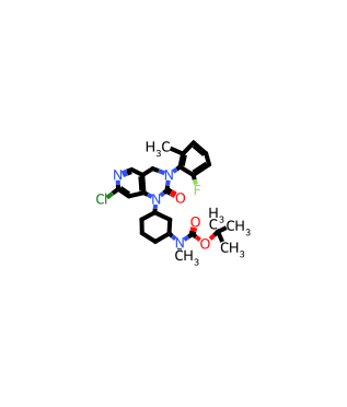 Cc1cccc(F)c1N1Cc2cnc(Cl)cc2N(C2CCCC(N(C)C(=O)OC(C)(C)C)C2)C1=O